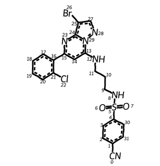 N#Cc1ccc(S(=O)(=O)NCCCNc2cc(-c3ccccc3Cl)nc3c(Br)cnn23)cc1